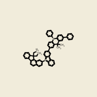 CCC1(CC)c2ccccc2-c2ccc3ccc(-n4c5ccccc5c5cc(-c6ccc7c(c6)C(C)(C)c6cc(-c8ccccc8)ccc6N7c6ccccc6)ccc54)cc3c21